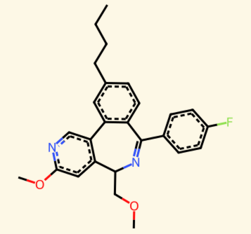 CCCCc1ccc2c(c1)-c1cnc(OC)cc1C(COC)N=C2c1ccc(F)cc1